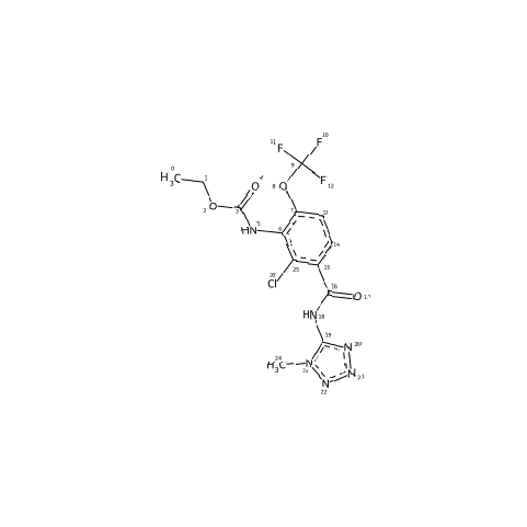 CCOC(=O)Nc1c(OC(F)(F)F)ccc(C(=O)Nc2nnnn2C)c1Cl